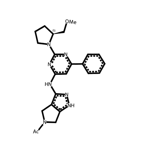 COC[C@@H]1CCCN1c1nc(Nc2n[nH]c3c2CN(C(C)=O)C3)cc(-c2ccccc2)n1